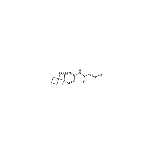 CCOC(=O)C1(C2(C)C=CC(NC(=O)/C=N/O)=CC2)CCC1